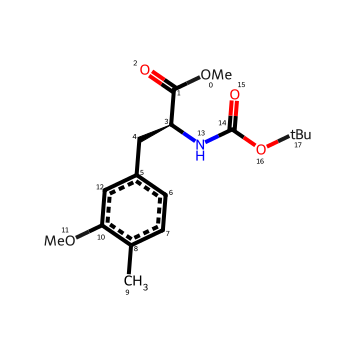 COC(=O)[C@H](Cc1ccc(C)c(OC)c1)NC(=O)OC(C)(C)C